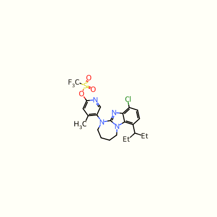 CCC(CC)c1ccc(Cl)c2nc3n(c12)CCCCN3c1cnc(OS(=O)(=O)C(F)(F)F)cc1C